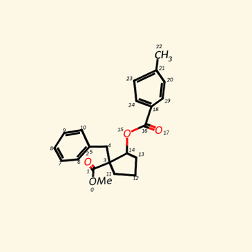 COC(=O)C1(Cc2ccccc2)CCCC1OC(=O)c1ccc(C)cc1